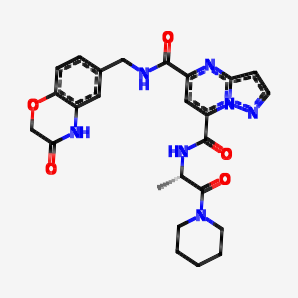 C[C@H](NC(=O)c1cc(C(=O)NCc2ccc3c(c2)NC(=O)CO3)nc2ccnn12)C(=O)N1CCCCC1